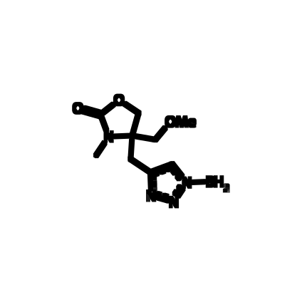 Bn1cc(CC2(COC)COC(=O)N2C)nn1